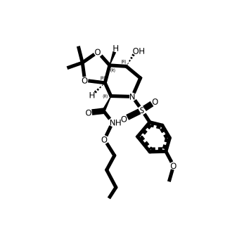 CCCCONC(=O)[C@H]1[C@H]2OC(C)(C)O[C@@H]2[C@H](O)CN1S(=O)(=O)c1ccc(OC)cc1